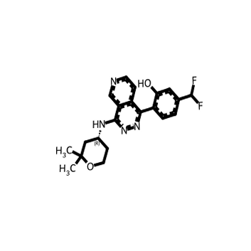 CC1(C)C[C@H](Nc2nnc(-c3ccc(C(F)F)cc3O)c3ccncc23)CCO1